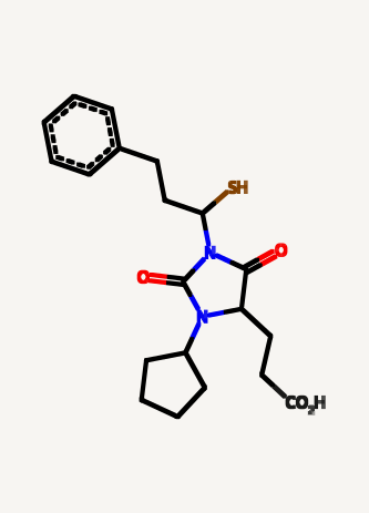 O=C(O)CCC1C(=O)N(C(S)CCc2ccccc2)C(=O)N1C1CCCC1